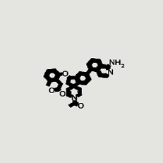 CC(=O)N1CCC2(CC1)CC(Oc1cccc(C)c1CC(=O)O)c1cc(-c3cccc4c(N)nccc34)ccc12